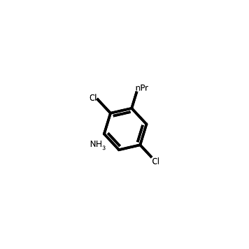 CCCc1cc(Cl)ccc1Cl.N